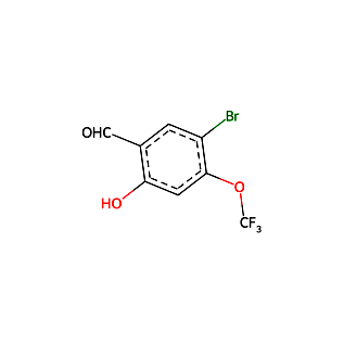 O=Cc1cc(Br)c(OC(F)(F)F)cc1O